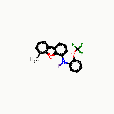 Cc1cccc2c1oc1c(N(I)c3ccccc3OC(F)(F)F)cccc12